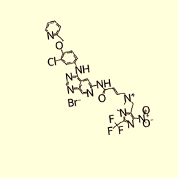 Cn1c(C(F)(F)F)nc([N+](=O)[O-])c1C[N+](C)(C)C/C=C/C(=O)Nc1cc2c(Nc3ccc(OCc4ccccn4)c(Cl)c3)ncnc2cn1.[Br-]